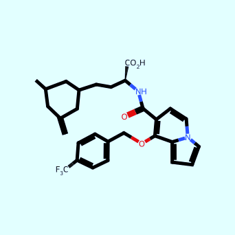 C=C1CC(C)CC(CC[C@H](NC(=O)c2ccn3cccc3c2OCc2ccc(C(F)(F)F)cc2)C(=O)O)C1